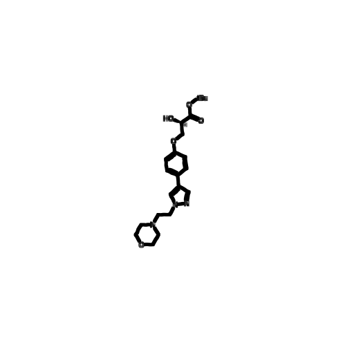 CC(C)(C)OC(=O)[C@H](O)COc1ccc(-c2cnn(CCN3CCOCC3)c2)cc1